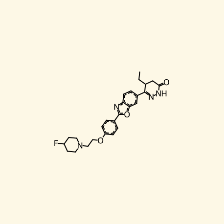 CCC1CC(=O)NN=C1c1ccc2nc(-c3ccc(OCCN4CCC(F)CC4)cc3)oc2c1